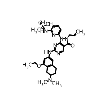 C=CCn1c(=O)c2cnc(Nc3cc4c(c(OCC)c3)CC(N(C)C)CC4)nc2n1-c1cccc(N[SH](C)(C)=O)n1